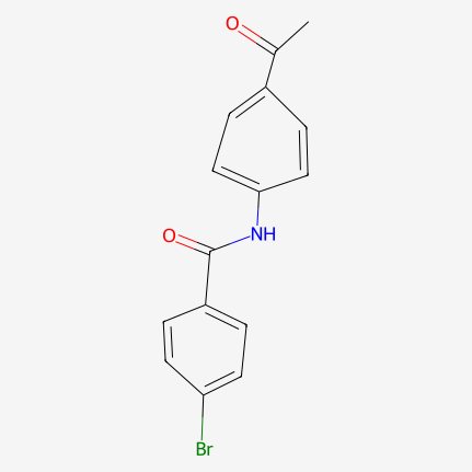 CC(=O)c1ccc(NC(=O)c2ccc(Br)cc2)cc1